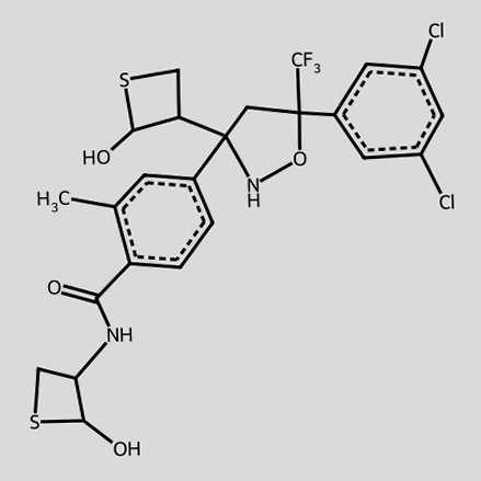 Cc1cc(C2(C3CSC3O)CC(c3cc(Cl)cc(Cl)c3)(C(F)(F)F)ON2)ccc1C(=O)NC1CSC1O